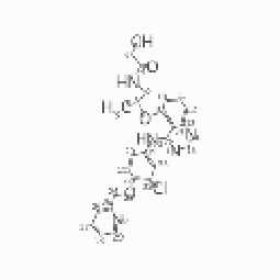 C[C@H](CNC(=O)CO)Oc1cccc2ncnc(Nc3ccc(OCc4ccccn4)c(Cl)c3)c12